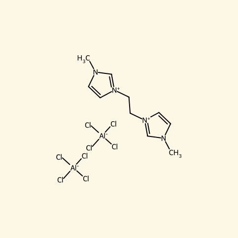 Cn1cc[n+](CC[n+]2ccn(C)c2)c1.[Cl][Al-]([Cl])([Cl])[Cl].[Cl][Al-]([Cl])([Cl])[Cl]